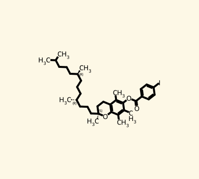 Cc1c(C)c2c(c(C)c1OC(=O)c1ccc(I)cc1)CC[C@](C)(CCC[C@H](C)CCC[C@H](C)CCCC(C)C)O2